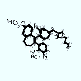 Cl.O=C(O)c1ccc2c(c1)CCCC(c1cccc(Cl)c1C(F)(F)F)=C2c1ccc(CC2CN(CCCF)C2)cc1F